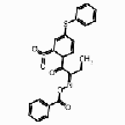 CCC(=NOC(=O)c1ccccc1)C(=O)C1C=CC(Sc2ccccc2)=CC1=S(=O)=O